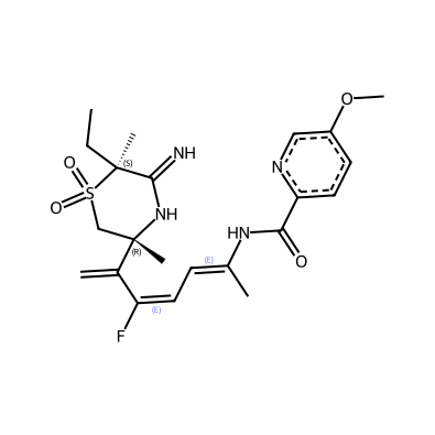 C=C(/C(F)=C\C=C(/C)NC(=O)c1ccc(OC)cn1)[C@]1(C)CS(=O)(=O)[C@@](C)(CC)C(=N)N1